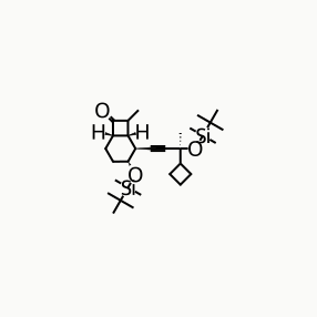 CC1C(=O)[C@H]2CC[C@@H](O[Si](C)(C)C(C)(C)C)[C@H](C#C[C@@](C)(O[Si](C)(C)C(C)(C)C)C3CCC3)[C@@H]12